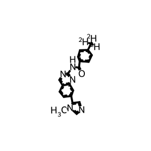 [2H]C([2H])([2H])c1ccc(C(=O)Nc2ncc3ccc(-c4cncn4C)cc3n2)cc1